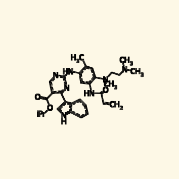 C=CC(=O)Nc1cc(Nc2ncc(C(=O)OC(C)C)c(-c3c[nH]c4ccccc34)n2)c(C)cc1N(C)CCN(C)C